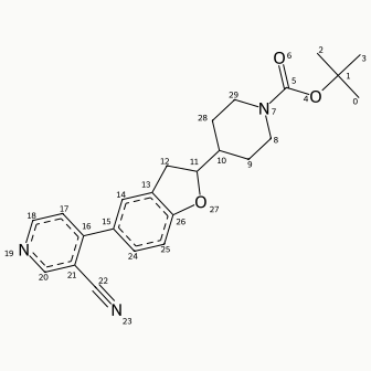 CC(C)(C)OC(=O)N1CCC(C2Cc3cc(-c4ccncc4C#N)ccc3O2)CC1